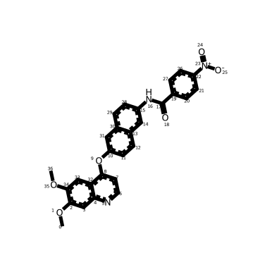 COc1cc2nccc(Oc3ccc4cc(NC(=O)c5ccc([N+](=O)[O-])cc5)ccc4c3)c2cc1OC